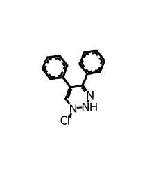 ClN1C=C(c2ccccc2)C(c2ccccc2)=NN1